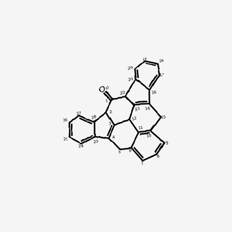 O=C1C2C3=C(Cc4cccc5c4C3C3=C(C5)c4ccccc4C13)c1ccccc12